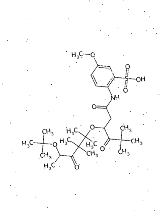 COc1ccc(NC(=O)CC(OC(C)(C)C(C)(C)C(=O)C(C)OC(C)(C)C)C(=O)C(C)(C)C)c(S(=O)(=O)O)c1